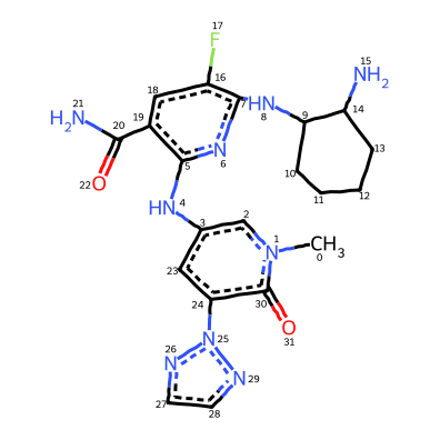 Cn1cc(Nc2nc(NC3CCCCC3N)c(F)cc2C(N)=O)cc(-n2nccn2)c1=O